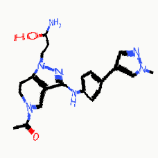 CC(=O)N1CCc2c(c(Nc3ccc(-c4cnn(C)c4)cc3)nn2CCC(N)O)C1